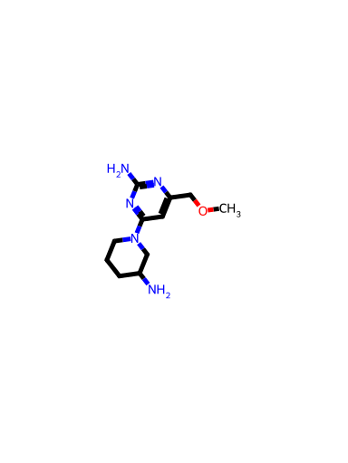 COCc1cc(N2CCCC(N)C2)nc(N)n1